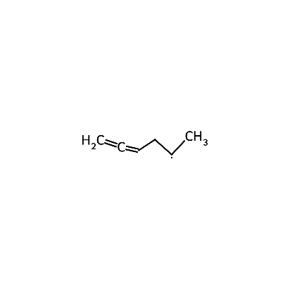 C=C=CC[CH]C